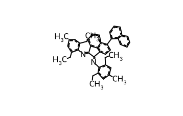 CCc1cc(C)cc(CC)c1N=C1C(=Nc2c(CC)cc(C)cc2CC)c2ccc(-c3cccc4ccccc34)c3cccc1c23